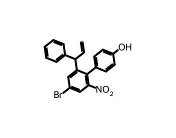 C=CC(c1ccccc1)c1cc(Br)cc([N+](=O)[O-])c1-c1ccc(O)cc1